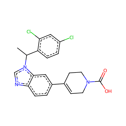 CC(c1ccc(Cl)cc1Cl)n1cnc2ccc(C3=CCN(C(=O)O)CC3)cc21